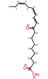 CC/C=C\C/C=C\C=C\C(=O)CCCCCCCC(=O)O